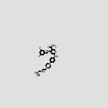 NC(=O)c1cnc(Nc2ccc(N3CCN(CCNC[SH](=O)=O)CC3)cc2)cc1NCc1cc(F)cc(F)c1